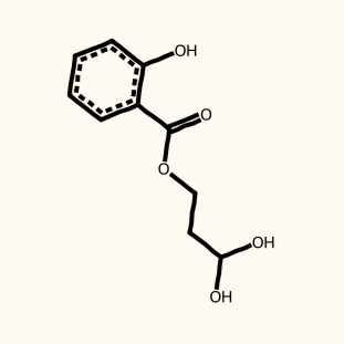 O=C(OCCC(O)O)c1ccccc1O